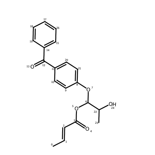 CC=CC(=O)OC(Oc1ccc(C(=O)c2ccccc2)cc1)C(C)O